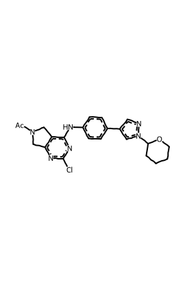 CC(=O)N1Cc2nc(Cl)nc(Nc3ccc(-c4cnn(C5CCCCO5)c4)cc3)c2C1